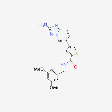 COc1cc(CNC(=O)c2cc(-c3ccc4nc(N)nn4c3)cs2)cc(OC)c1